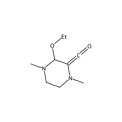 CCOC1C(=C=O)N(C)CCN1C